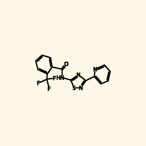 O=C(Nc1nc(-c2ccccn2)ns1)c1ccccc1C(F)(F)F